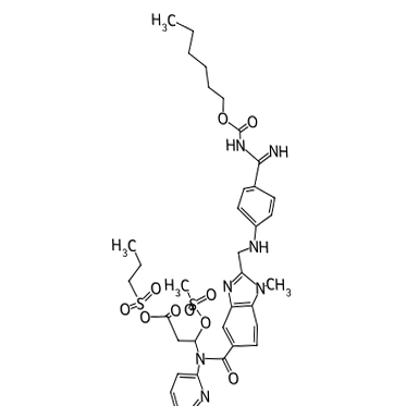 CCCCCCOC(=O)NC(=N)c1ccc(NCc2nc3cc(C(=O)N(c4ccccn4)C(CC(=O)OS(=O)(=O)CCC)OS(C)(=O)=O)ccc3n2C)cc1